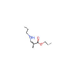 CCCNC=C(C)C(=O)OCCC